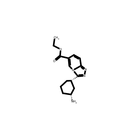 CCOC(=O)c1ccc2nnc([C@H]3CCC[C@@H](N)C3)n2c1